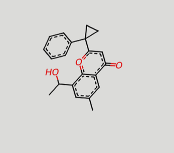 Cc1cc(C(C)O)c2oc(C3(c4ccccc4)CC3)cc(=O)c2c1